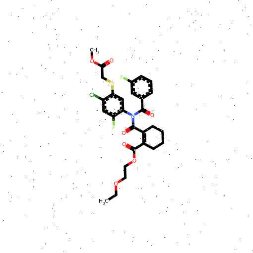 CCOCCOC(=O)C1=C(C(=O)N(C(=O)c2cccc(F)c2)c2cc(SCC(=O)OC)c(Cl)cc2F)CCCC1